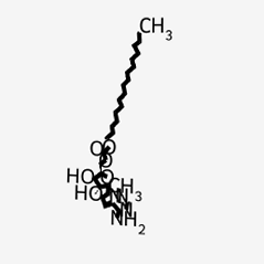 CCCCCCCCCCCCCCCCCCOC(=O)OC[C@H]1O[C@@](C)(C2CC=C3C(N)=NC=NN32)[C@H](O)[C@@H]1O